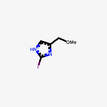 COCc1c[nH]c(I)n1